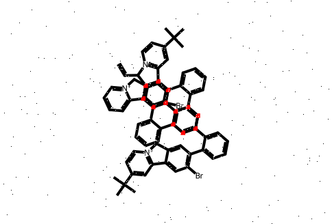 C=CC1c2cc(-c3ccccc3C3CC(c4ccccc4-c4cc5c(cc4Br)-c4cc(C(C)(C)C)cc[n+]4C5)CC(c4ccccc4-c4cc5c(cc4-c4ccccc4)-c4cccc[n+]4C5)C3)c(Br)cc2-c2cc(C(C)(C)C)cc[n+]21